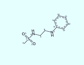 CS(=O)(=O)NCCNc1ccccc1